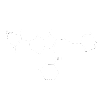 Cc1noc(C)c1-c1ccn2c(NC3CCCCC3)c(CCc3ccccc3)nc2c1